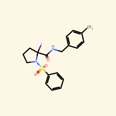 O=C(NCc1ccc(C(F)(F)F)cc1)C1(I)CCCN1S(=O)(=O)c1ccccc1